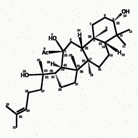 CC(=O)[C@@]1(O)C[C@@H]2[C@@]3(C)CC[C@H](O)C(C)(C)[C@@H]3CC[C@@]2(C)[C@]2(C)CC[C@H]([C@@](C)(O)CCC=C(C)C)[C@@H]12